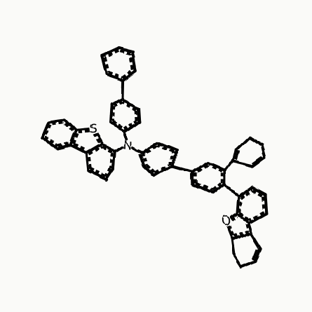 C1=CC(c2cc(-c3ccc(N(c4ccc(-c5ccccc5)cc4)c4cccc5c4sc4ccccc45)cc3)ccc2-c2cccc3c4c(oc23)CCC=C4)=CCC1